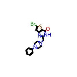 O=c1[nH]c(CN2CCN(c3ccccc3)CC2)nc2cc(Br)sc12